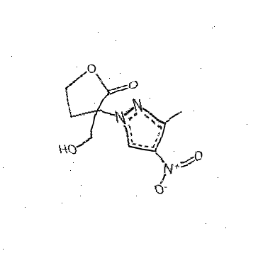 Cc1nn(C2(CO)CCOC2=O)cc1[N+](=O)[O-]